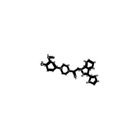 COc1cc(N2CCN(C(=O)Cn3nc(-c4nccs4)c4cccnc43)CC2)ccc1Cl